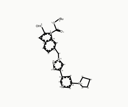 CC(C)(C)OC(=O)n1c(C=O)cc2ccc(Cn3cc(-c4cncc(N5CCCC5)c4)nn3)cc21